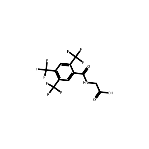 O=C(O)CNC(=O)c1cc(C(F)(F)F)c(C(F)(F)F)cc1C(F)(F)F